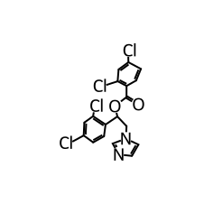 O=C(OC(Cn1ccnc1)c1ccc(Cl)cc1Cl)c1ccc(Cl)cc1Cl